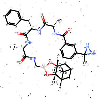 CC(C)[C@H](NC(=O)c1cccc(C2(C(F)(F)F)NN2)c1)C(=O)N[C@@H](Cc1ccccc1)C(=O)N[C@@H](C)C(=O)NCB1O[C@@H]2CC3C[C@@H](C3(C)C)[C@]2(C)O1